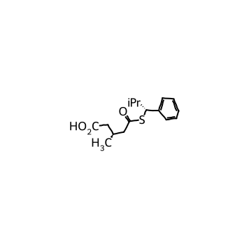 CC(C)[C@@H](SC(=O)C[C@@H](C)CC(=O)O)c1ccccc1